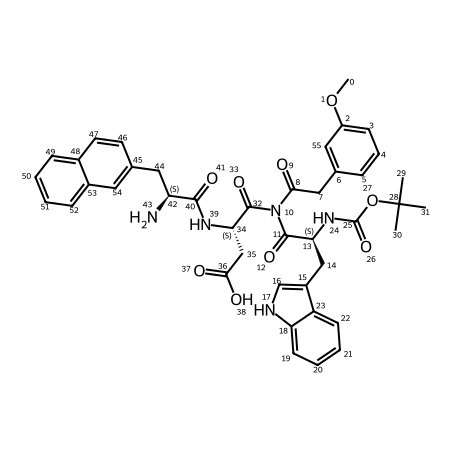 COc1cccc(CC(=O)N(C(=O)[C@H](Cc2c[nH]c3ccccc23)NC(=O)OC(C)(C)C)C(=O)[C@H](CC(=O)O)NC(=O)[C@@H](N)Cc2ccc3ccccc3c2)c1